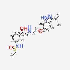 CC[S+]([O-])Nc1cccc([C@@H](O)CNCCOc2ccc3c(C(C)C)n[nH]c3c2)c1